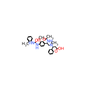 COc1cc(C(CN(C)C(CC(=O)O)c2ccccc2)NC(C)=O)ccc1NC(=O)Nc1ccccc1C